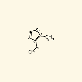 Cc1s[c]cc1CCl